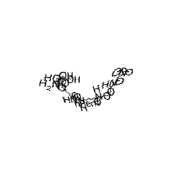 CCCCC[C@H](NC(=O)CCCCOC1OC(CO)[C@H](O)[C@H](O)[C@@H]1N)C(=O)NCCCCCC(=O)NCCOC(C)(C)OCCNC(=O)CCN1C(=O)C=CC1=O